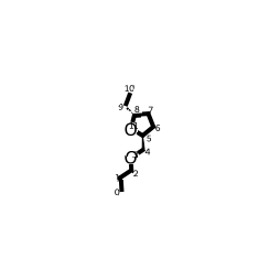 CCCOC[C@@H]1CC[C@@H](CC)O1